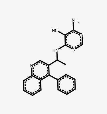 CC(Nc1ncnc(N)c1C#N)c1cnc2ccccc2c1-c1ccccc1